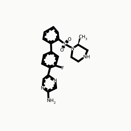 C[C@H]1CNCCN1S(=O)(=O)c1ccccc1-c1ccc(-c2cnc(N)cn2)c(F)c1